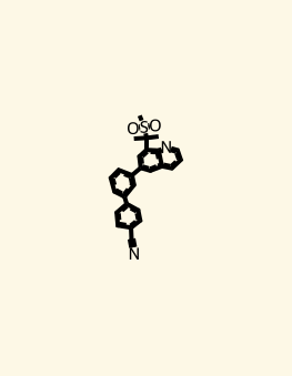 CC(C)(c1cc(-c2cccc(-c3ccc(C#N)cc3)c2)cc2cccnc12)S(C)(=O)=O